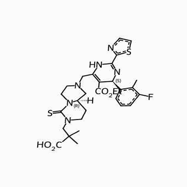 CCOC(=O)C1=C(CN2CCN3C(=S)N(CC(C)(C)C(=O)O)CC[C@@H]3C2)NC(c2nccs2)=N[C@H]1c1cccc(F)c1C